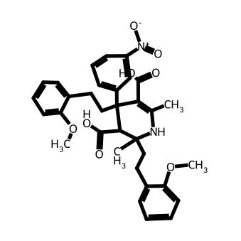 COc1ccccc1CCC1(C)NC(C)=C(C(=O)O)C(CCc2ccccc2OC)(c2cccc([N+](=O)[O-])c2)C1C(=O)O